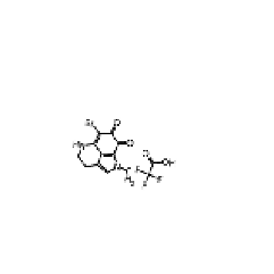 Cn1cc2c3c1C(=O)C(=O)C(Br)=C3NCC2.O=C(O)C(F)(F)F